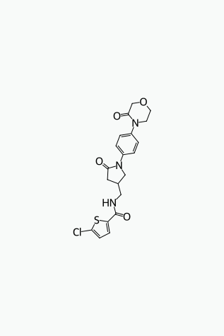 O=C(NCC1CC(=O)N(c2ccc(N3CCOCC3=O)cc2)C1)c1ccc(Cl)s1